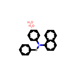 O.O.[B](c1ccccc1)N(c1ccccc1)c1cccc2ccccc12